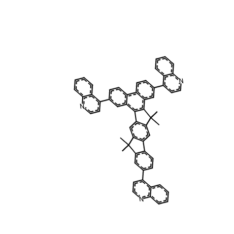 CC1(C)c2cc(-c3ccnc4ccccc34)ccc2-c2cc3c(cc21)-c1c(c2cc(-c4ccnc5ccccc45)ccc2c2ccc(-c4ccnc5ccccc45)cc12)C3(C)C